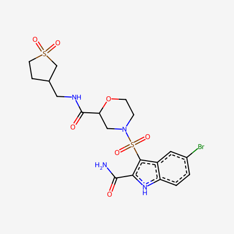 NC(=O)c1[nH]c2ccc(Br)cc2c1S(=O)(=O)N1CCOC(C(=O)NCC2CCS(=O)(=O)C2)C1